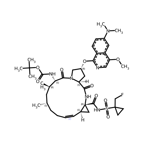 COc1cnc(O[C@@H]2C[C@H]3C(=O)N[C@]4(C(=O)NS(=O)(=O)C5(CF)CC5)C[C@H]4/C=C\CC[C@H](C)C[C@@H](C)[C@H](NC(=O)OC(C)(C)C)C(=O)N3C2)c2ccc(N(C)C)cc12